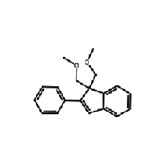 COCC1(COC)C(c2ccccc2)=Cc2ccccc21